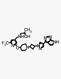 C[C@H](O)CNCc1cc(OC2CCN(C3CC(n4cc(-c5ncnc6[nH]ccc56)cn4)C3)CC2)nc(C(F)(F)F)c1